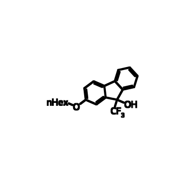 CCCCCCOc1ccc2c(c1)C(O)(C(F)(F)F)c1ccccc1-2